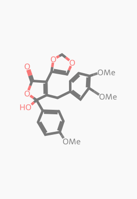 COc1ccc(C2(O)OC(=O)C(C3=COCO3)=C2Cc2ccc(OC)c(OC)c2)cc1